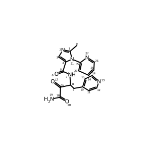 Cc1ncc(C(=O)NC(Cc2ccncc2)C(=O)C(N)=O)n1-c1ccccn1